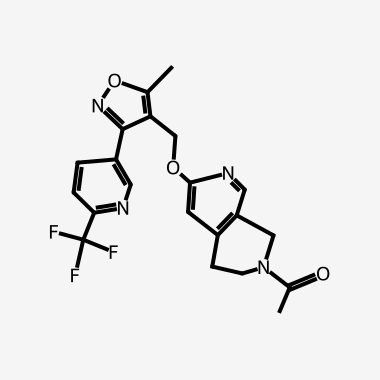 CC(=O)N1CCc2cc(OCc3c(-c4ccc(C(F)(F)F)nc4)noc3C)ncc2C1